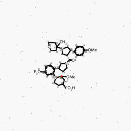 COC[C@H]1CN(C(=O)[C@@H]2CN(C3(C)CCOCC3)C[C@H]2c2ccc(OC)cc2)C[C@@H]1c1ccc(C(F)(F)F)cc1N1CCC(C(=O)O)CC1